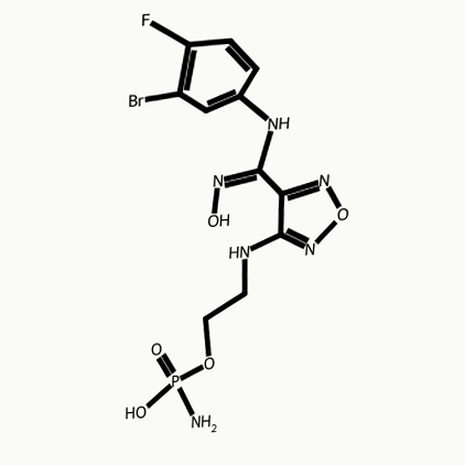 NP(=O)(O)OCCNc1nonc1C(=NO)Nc1ccc(F)c(Br)c1